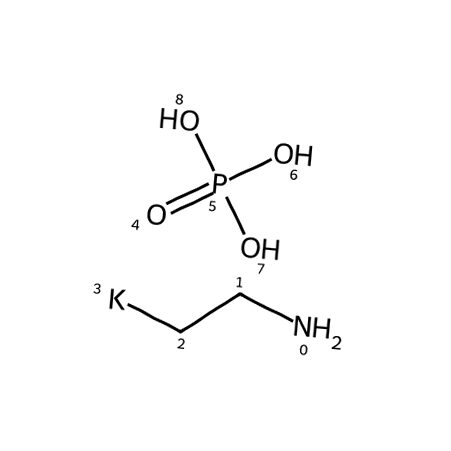 NC[CH2][K].O=P(O)(O)O